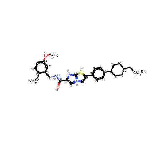 CCOC(=O)CC1CCC(c2ccc(-c3cn4cc(C(=O)NCc5cc(OC(F)(F)F)ccc5OC)nc4s3)cc2)CC1